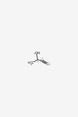 [C-]#[N+]C(C)O